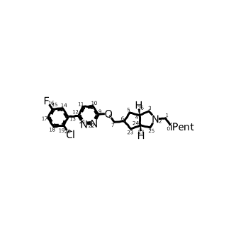 CCCC(C)CN1C[C@H]2CC(COc3ccc(-c4cc(F)ccc4Cl)nn3)C[C@H]2C1